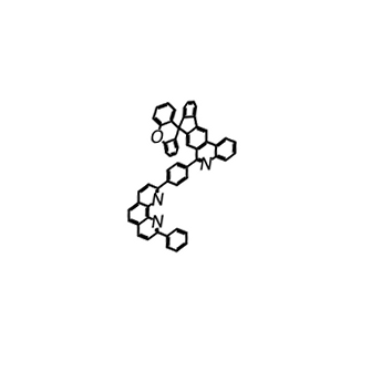 c1ccc(-c2ccc3ccc4ccc(-c5ccc(-c6nc7ccccc7c7cc8c(cc67)C6(c7ccccc7Oc7ccccc76)c6ccccc6-8)cc5)nc4c3n2)cc1